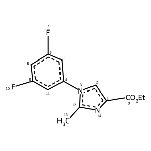 CCOC(=O)c1cn(-c2cc(F)cc(F)c2)c(C)n1